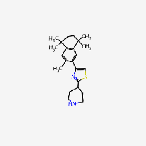 Cc1cc2c(cc1-c1csc(C3CCNCC3)n1)C(C)(C)CCC2(C)C